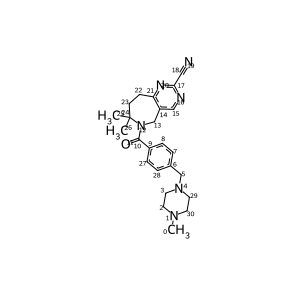 CN1CCN(Cc2ccc(C(=O)N3Cc4cnc(C#N)nc4CCC3(C)C)cc2)CC1